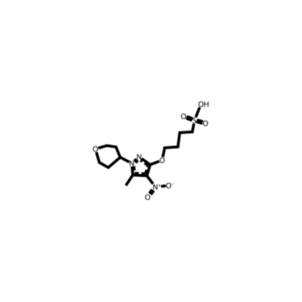 Cc1c([N+](=O)[O-])c(OCCCCS(=O)(=O)O)nn1C1CCOCC1